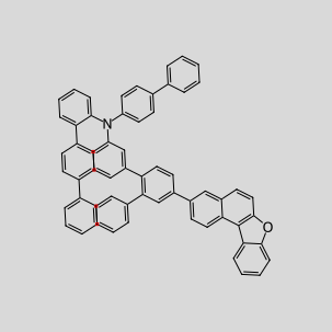 c1ccc(-c2ccc(-c3ccccc3N(c3ccc(-c4ccccc4)cc3)c3cccc(-c4ccc(-c5ccc6c(ccc7oc8ccccc8c76)c5)cc4-c4ccccc4)c3)cc2)cc1